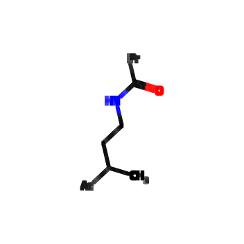 CC(=O)C(C)CCNC(=O)C(C)C